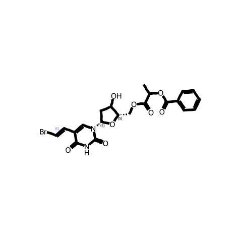 CC(OC(=O)c1ccccc1)C(=O)OC[C@@H]1O[C@H](n2cc(/C=C/Br)c(=O)[nH]c2=O)CC1O